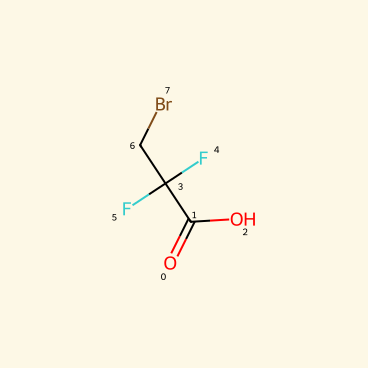 O=C(O)C(F)(F)CBr